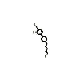 N#Cc1ccc(C2CCC(CCCC=CF)CC2)cc1F